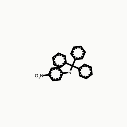 O=[N+]([O-])c1ccc(SC(c2ccccc2)(c2ccccc2)c2ccccc2)cc1